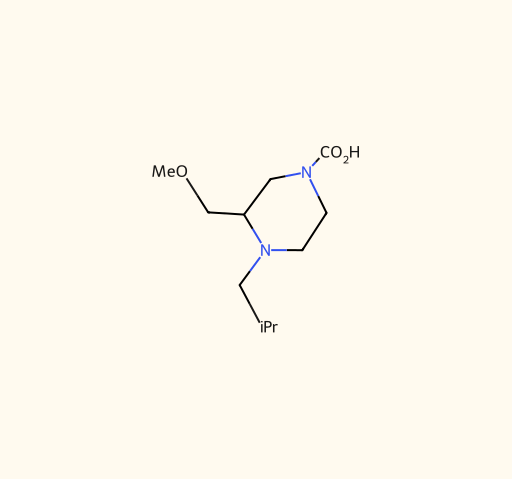 COCC1CN(C(=O)O)CCN1CC(C)C